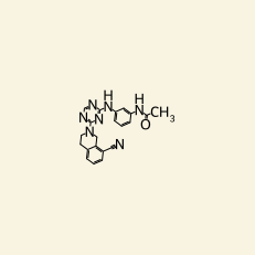 CC(=O)Nc1cccc(Nc2ncnc(N3CCc4cccc(C#N)c4C3)n2)c1